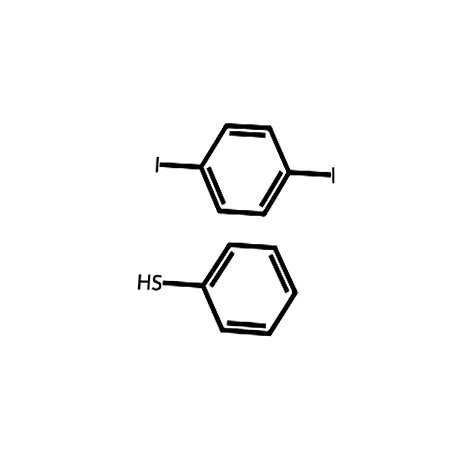 Ic1ccc(I)cc1.Sc1ccccc1